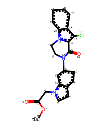 CC(C)(C)OC(=O)Cn1ccc2ccc(N3CCn4c(c(Cl)c5ccccc54)C3=O)cc21